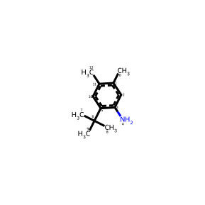 Cc1cc(N)c(C(C)(C)C)cc1C